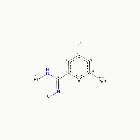 CCN/C(=N\C)c1cc(C)cc(C(F)(F)F)c1